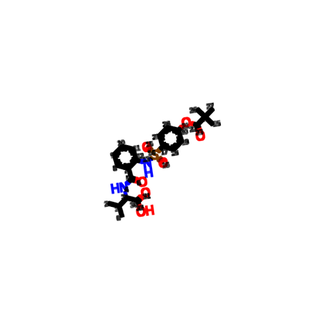 CC(C)[C@@H](NC(=O)c1ccccc1NS(=O)(=O)c1ccc(OC(=O)C(C)(C)C)cc1)C(=O)O